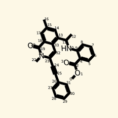 COC(=O)c1ccccc1NC(C)c1cc(C)cc2c(=O)n(C)c(C#Cc3ccccc3)cc12